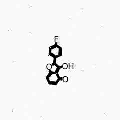 O=C1C=CC=C2OC(c3ccc(F)cc3)C(O)=C12